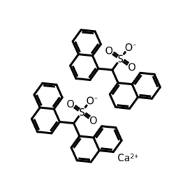 O=S(=O)([O-])C(c1cccc2ccccc12)c1cccc2ccccc12.O=S(=O)([O-])C(c1cccc2ccccc12)c1cccc2ccccc12.[Ca+2]